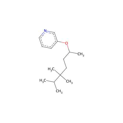 CC(CCC(C)(C)C(C)C)Oc1cccnc1